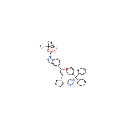 CC(C)(C)OC(=O)n1ncc2cc(C(=O)C=Cc3ccccc3-c3cn(C(c4ccccc4)(c4ccccc4)c4ccccc4)cn3)ccc21